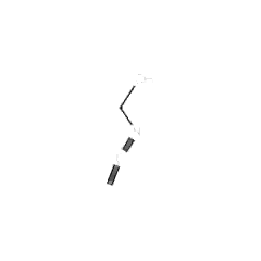 C=C=NCO